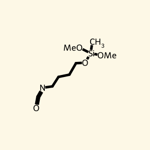 CO[Si](C)(OC)OCCCCN=C=O